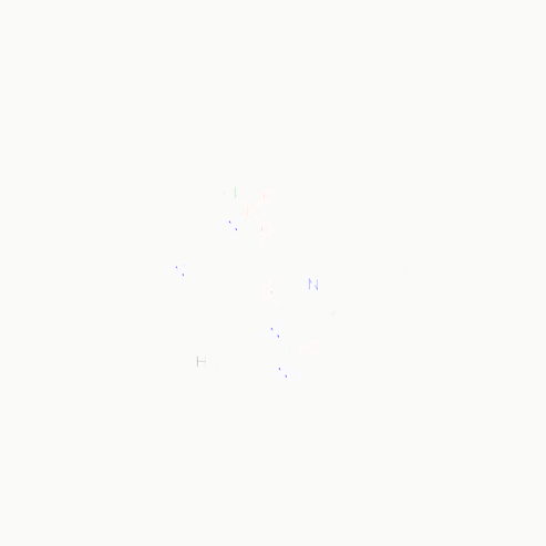 CC1=CN(C2CN(C(c3ccccc3)(c3ccccc3)c3ccccc3)CC(COP(=O)(Cl)N3CCC(N4CCCCC4)CC3)O2)C(=O)NC1